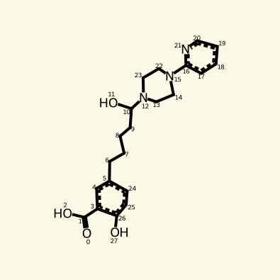 O=C(O)c1cc(CCCCC(O)N2CCN(c3ccccn3)CC2)ccc1O